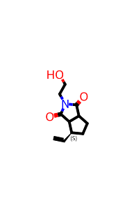 C=C[C@@H]1CCC2C(=O)N(CCO)C(=O)C21